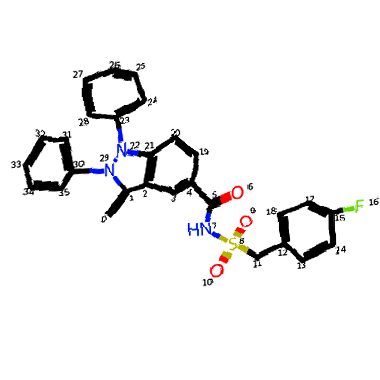 C=C1c2cc(C(=O)NS(=O)(=O)Cc3ccc(F)cc3)ccc2N(c2ccccc2)N1c1ccccc1